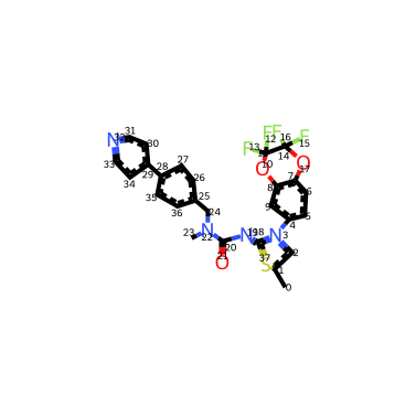 Cc1cn(-c2ccc3c(c2)OC(F)(F)C(F)(F)O3)c(=NC(=O)N(C)Cc2ccc(-c3ccncc3)cc2)s1